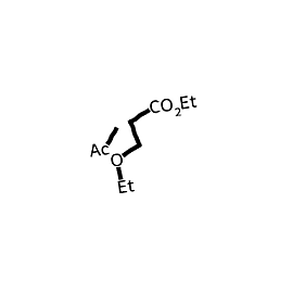 CC(C)=O.CCOCCC(=O)OCC